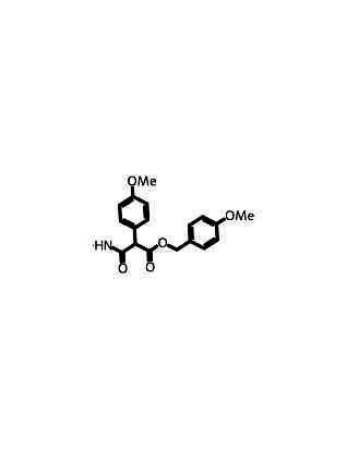 COc1ccc(COC(=O)C(C([NH])=O)c2ccc(OC)cc2)cc1